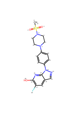 CS(=O)(=O)N1CCN(c2ccc(-n3ncc4cc(F)c(O)nc43)cc2)CC1